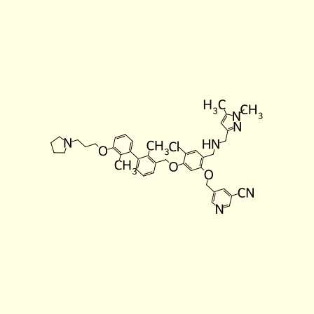 Cc1c(COc2cc(OCc3cncc(C#N)c3)c(CNCc3cc(C)n(C)n3)cc2Cl)cccc1-c1cccc(OCCCN2CCCC2)c1C